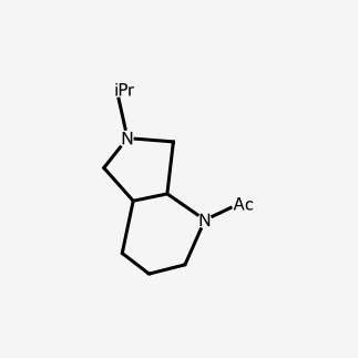 CC(=O)N1CCCC2CN(C(C)C)CC21